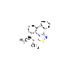 CC1C2SN=C3c4ccccc4-c4cccc(c4N32)[C@@H]1C